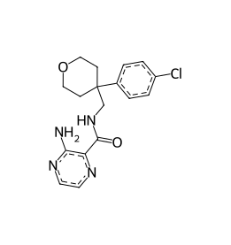 Nc1nccnc1C(=O)NCC1(c2ccc(Cl)cc2)CCOCC1